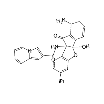 CC(C)c1ccc2c(c1)OC1(O)C3=C(C(=O)C21NC(=O)c1cc2ccccn2c1)C(N)CC=C3